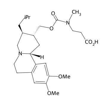 COc1cc2c(cc1OC)[C@H]1C[C@@H](COC(=O)N(C)CCC(=O)O)[C@H](CC(C)C)CN1CC2